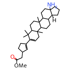 COC(=O)CC1C=C(C2=CCC3(C)C(CCC4(C)C5CCC6(N)CCC[C@@H]6C5CCC43)C2(C)C)CC1